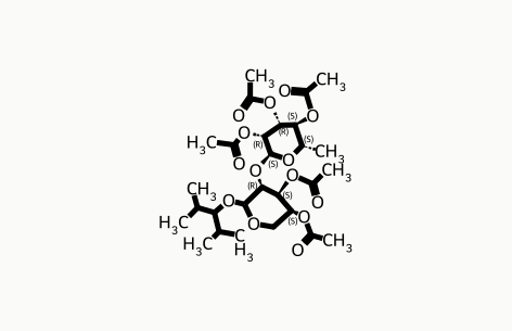 CC(=O)O[C@@H]1[C@@H](OC(C)=O)[C@H](C)O[C@@H](O[C@H]2C(OC(C(C)C)C(C)C)OC[C@H](OC(C)=O)[C@@H]2OC(C)=O)[C@@H]1OC(C)=O